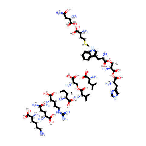 CC(C)C[C@H](N)C(=O)O.CC(C)[C@H](N)C(=O)OC[C@H](N)C(=O)O.CC[C@H](C)[C@H](N)C(=O)O.CSCC[C@H](N)C(=O)O.C[C@@H](OC(=O)[C@@H](N)Cc1c[nH]c2ccccc12)[C@H](N)C(=O)OC(=O)[C@@H](N)Cc1c[nH]cn1.N=C(N)NCCC[C@H](N)C(=O)O.NC(=O)CC[C@H](N)C(=O)O.NC(=O)C[C@H](N)C(=O)O.NCCCC[C@H](N)C(=O)O